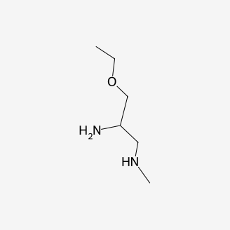 CCOCC(N)CNC